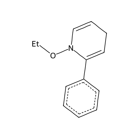 CCON1C=CCC=C1c1ccccc1